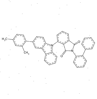 Cc1ccc(-c2ccc3c(c2)c2ccccc2n3-c2cccc3c2C(=O)N(c2ccccc2-c2ccccc2)C3=O)c(C)c1